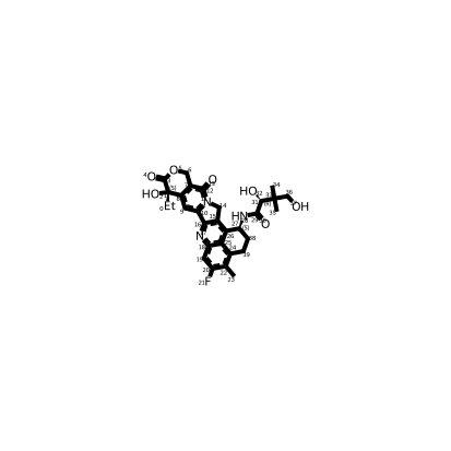 CC[C@@]1(O)C(=O)OCc2c1cc1n(c2=O)Cc2c-1nc1cc(F)c(C)c3c1c2[C@@H](NC(=O)[C@H](O)C(C)(C)CO)CC3